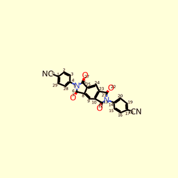 N#Cc1ccc(-n2c(=O)c3cc4c(=O)n(-c5ccc(C#N)cc5)c(=O)c4cc3c2=O)cc1